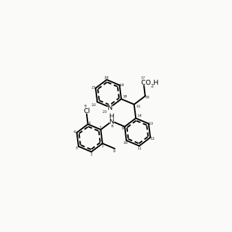 Cc1cccc(Cl)c1Nc1ccccc1C(CC(=O)O)c1ccccn1